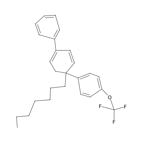 CCCCCCCC1(c2ccc(OC(F)(F)F)cc2)C=CC(c2ccccc2)=CC1